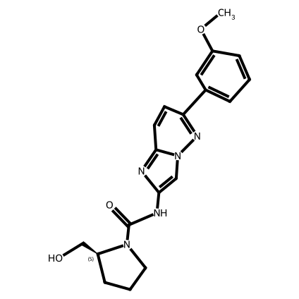 COc1cccc(-c2ccc3nc(NC(=O)N4CCC[C@H]4CO)cn3n2)c1